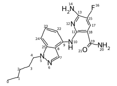 CCCCCn1ncc2c(Nc3nc(N)c(F)cc3C(N)=O)cccc21